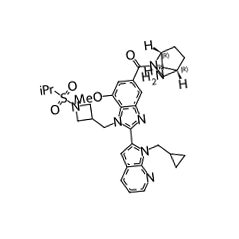 COc1cc(C(=O)N2C[C@H]3CC[C@@H]2[C@@H]3N)cc2nc(-c3cc4cccnc4n3CC3CC3)n(CC3CN(S(=O)(=O)C(C)C)C3)c12